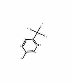 Cc1ccc(C(I)(I)I)nc1